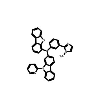 Cn1ccnc1-c1cccc(B(c2ccc3c4ccccc4n(-c4ccccn4)c3c2)c2cccc3c2oc2ccccc23)c1